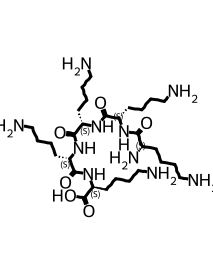 NCCCC[C@H](NC(=O)[C@H](CCCCN)NC(=O)[C@H](CCCCN)NC(=O)[C@H](CCCCN)NC(=O)[C@@H](N)CCCCN)C(=O)O